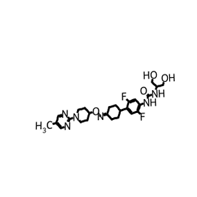 Cc1cnc(N2CCC(ON=C3CCC(c4cc(F)c(NC(=O)NC(CO)CO)cc4F)CC3)CC2)nc1